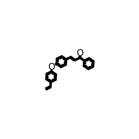 C=Cc1ccc(Oc2ccc(C=CC(=O)c3ccccc3)cc2)cc1